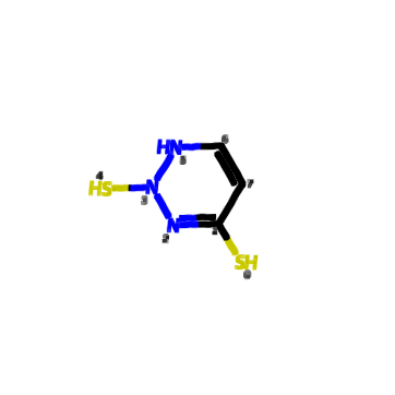 SC1=NN(S)NC=C1